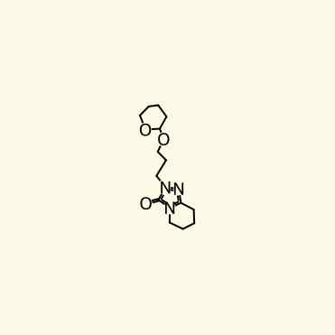 O=c1n(CCCOC2CCCCO2)nc2n1CCCC2